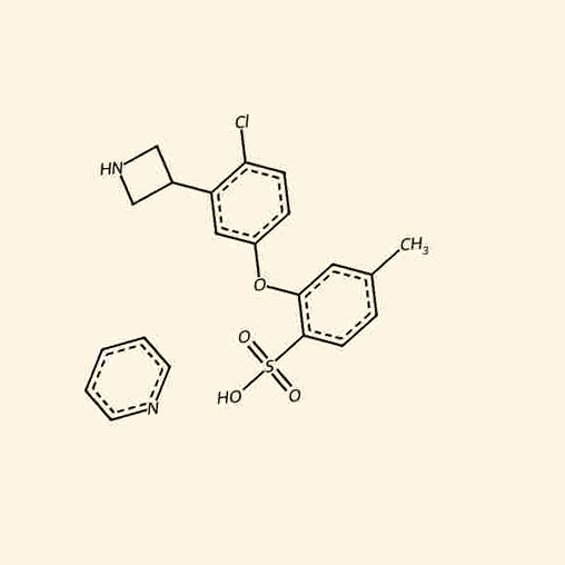 Cc1ccc(S(=O)(=O)O)c(Oc2ccc(Cl)c(C3CNC3)c2)c1.c1ccncc1